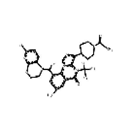 [2H]C([2H])([2H])n1c(=O)c2cc(C)cc(C(C)N3CCOc4nc(Cl)ccc43)c2n2cnc(C3CCN(C(C)=O)CC3)c12